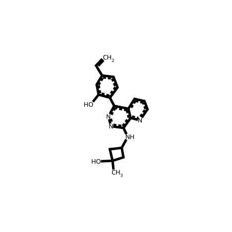 C=Cc1ccc(-c2nnc(NC3CC(C)(O)C3)c3ncccc23)c(O)c1